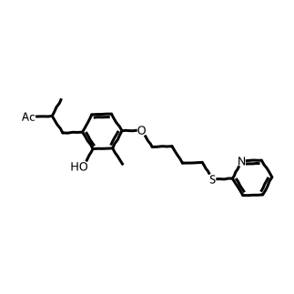 CC(=O)C(C)Cc1ccc(OCCCCSc2ccccn2)c(C)c1O